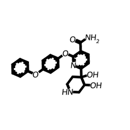 NC(=O)c1ccc(C2(O)CCNCC2O)nc1Oc1ccc(Oc2ccccc2)cc1